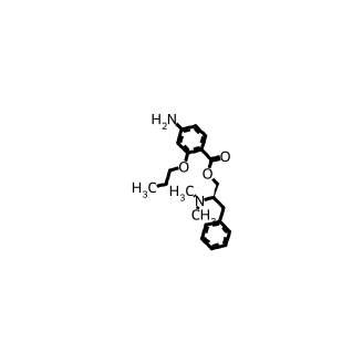 CCCOc1cc(N)ccc1C(=O)OC[C@@H](Cc1ccccc1)N(C)C